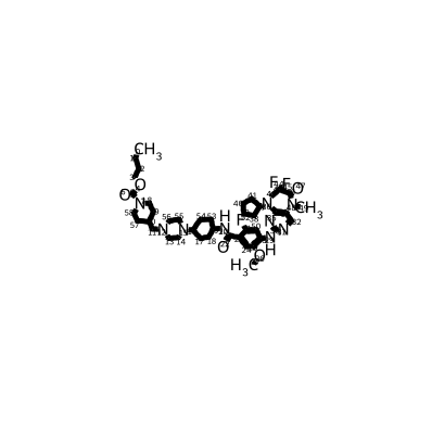 CCCCOC(=O)N1CCC(CN2CCN(C3CCC(NC(=O)c4cc(OC)c(Nc5ncc6c(n5)N(C5CCCC5)CC(F)(F)C(=O)N6C)cc4F)CC3)CC2)CC1